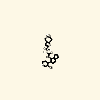 CN1CCc2sc(S(=O)(=O)NC(=O)Nc3c(-c4ccncc4C#N)ccc4c3CCC4)cc2C1